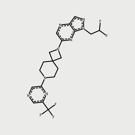 FC(F)Cn1ncc2ncc(N3CC4(CCN(c5cncc(C(F)(F)F)n5)CC4)C3)nc21